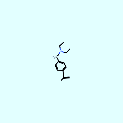 C=C(C)c1ccc([SiH2]N(CC)CC)cc1